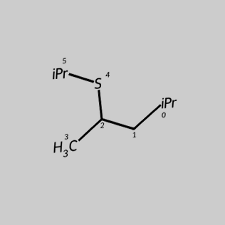 CC(C)CC(C)SC(C)C